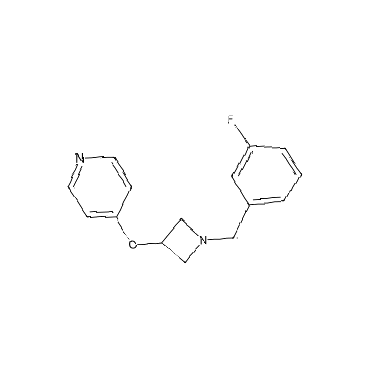 Fc1cccc([CH]N2CC(Oc3ccncc3)C2)c1